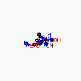 Cc1c(-c2c(C(=O)Nc3ccc(O)cc3)c(C)n(C)c2-c2cc3c(cc2C(=O)N2Cc4ccccc4C[C@H]2CN2CCCCC2)CN(C(=O)Cc2ccc(OCCN4CCN(C)CC4)cc2)CC3)cc(C#N)n1C